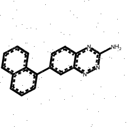 Nc1nnc2cc(-c3cccc4ccccc34)ccc2n1